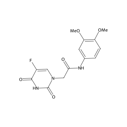 COc1ccc(NC(=O)Cn2cc(F)c(=O)[nH]c2=O)cc1OC